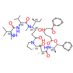 CC[C@H](C)[C@@H]([C@H](O)CC(=O)N1CCC[C@H]1[C@H](O)[C@@H](C)C(=O)N[C@H](C)C(OC(=O)CCCCC(=O)c1ccccc1)c1ccccc1)N(C)C(=O)[C@@H](NC(=O)[C@@H](NC)C(C)C)C(C)C